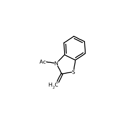 C=C1Sc2ccccc2N1C(C)=O